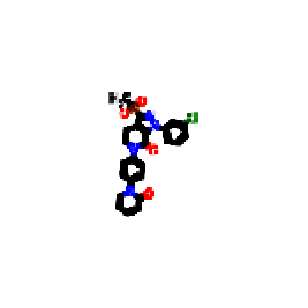 CS(=O)(=O)c1nn(-c2cccc(Cl)c2)c2c1CCN(c1ccc(-n3ccccc3=O)cc1)C2=O